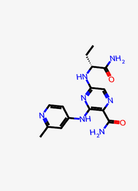 CC[C@@H](Nc1cnc(C(N)=O)c(Nc2ccnc(C)c2)n1)C(N)=O